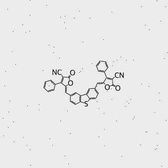 N#CC1=C(c2ccccc2)C(=Cc2ccc3sc4ccc(C=C5OC(=O)C(C#N)=C5c5ccccc5)cc4c3c2)OC1=O